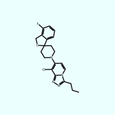 CCCc1nnc2c(Cl)c(N3CCC4(CC3)OCc3c(F)cccc34)ccn12